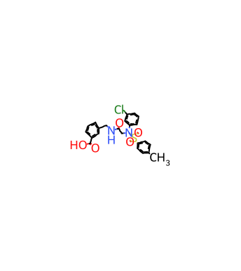 Cc1ccc(S(=O)(=O)N(CC(=O)NCc2cccc(C(=O)O)c2)c2cccc(Cl)c2)cc1